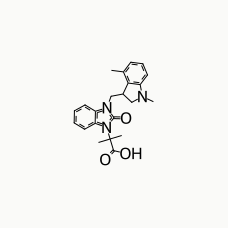 Cc1cccc2c1C(Cn1c(=O)n(C(C)(C)C(=O)O)c3ccccc31)CN2C